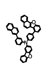 c1cc(-c2ccc3ccccc3c2)cc(N(c2ccc(-c3cccc4oc5c6ccccc6ccc5c34)cc2)c2ccc3oc4ccccc4c3c2)c1